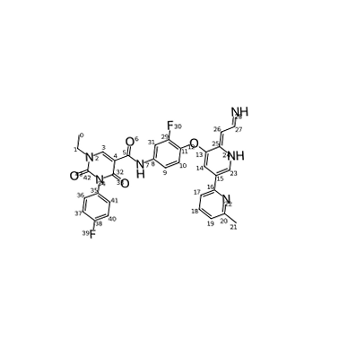 CCn1cc(C(=O)Nc2ccc(OC3=CC(c4cccc(C)n4)=CN/C3=C\C=N)c(F)c2)c(=O)n(-c2ccc(F)cc2)c1=O